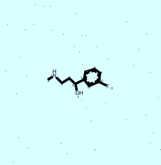 CNCCC(O)c1cccc(F)c1